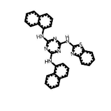 c1ccc2c(Nc3nc(Nc4nc5ccccc5s4)nc(Nc4cccc5ccccc45)n3)cccc2c1